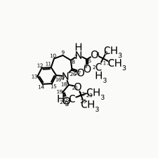 CC(C)(C)OC(=O)NC1CCc2ccccc2N(C(C=O)OC(C)(C)C)C1=O